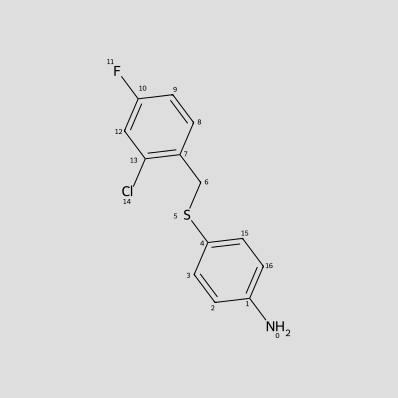 Nc1ccc(SCc2ccc(F)cc2Cl)cc1